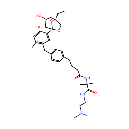 CC[C@@]12CO[C@@](c3ccc(C)c(Cc4ccc(CCCC(=O)NC(C)(C)C(=O)NCCN(C)C)cc4)c3)(O1)[C@H](O)[C@@H](O)C2